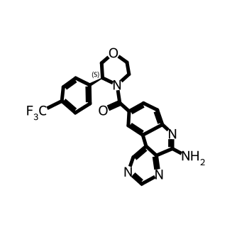 Nc1nc2ccc(C(=O)N3CCOC[C@@H]3c3ccc(C(F)(F)F)cc3)cc2c2cncnc12